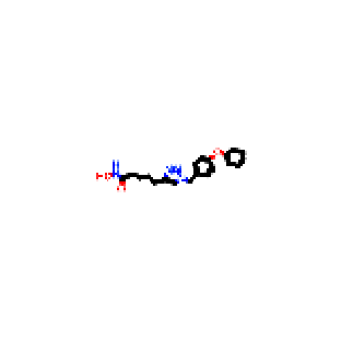 O=C(CCCCc1cn(Cc2ccc(Oc3ccccc3)cc2)nn1)NO